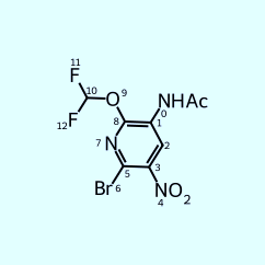 CC(=O)Nc1cc([N+](=O)[O-])c(Br)nc1OC(F)F